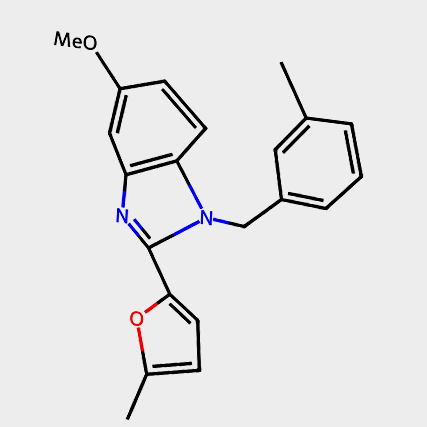 COc1ccc2c(c1)nc(-c1ccc(C)o1)n2Cc1cccc(C)c1